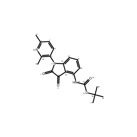 Cc1ccc(N2C(=O)C(=O)c3c(NC(=O)OC(C)(C)C)cccc32)c(C)n1